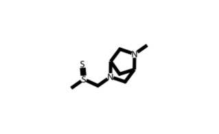 CN1CC2CC1CN2CS(C)=S